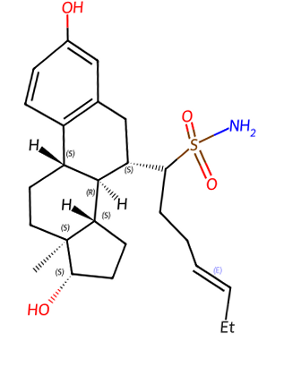 CC/C=C/CCC([C@H]1Cc2cc(O)ccc2[C@H]2CC[C@]3(C)[C@@H](O)CC[C@H]3[C@@H]21)S(N)(=O)=O